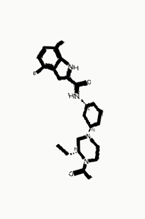 CC[C@@H]1CN([C@H]2CCC[C@@H](NC(=O)C3Cc4c(F)ccc(C)c4N3)C2)CCN1C(C)=O